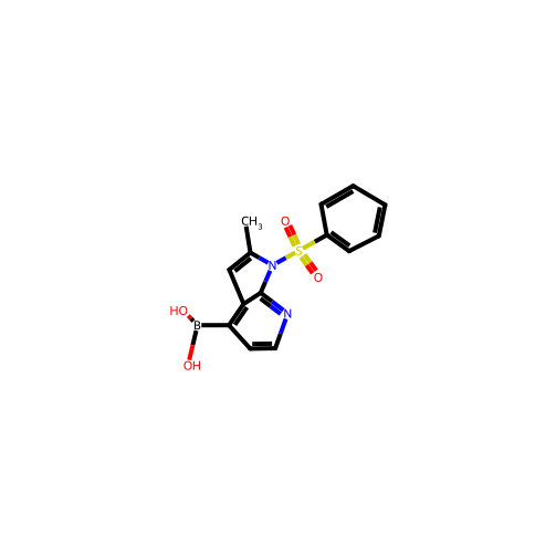 Cc1cc2c(B(O)O)ccnc2n1S(=O)(=O)c1ccccc1